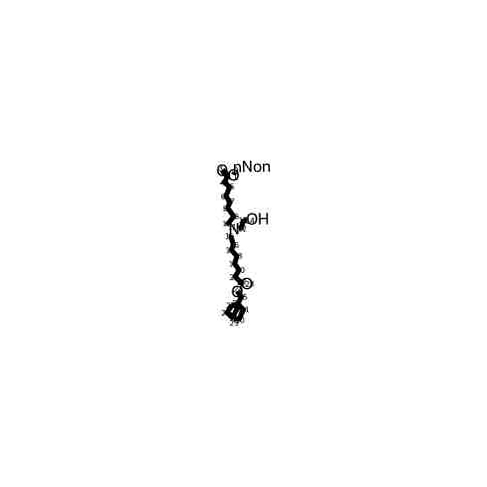 CCCCCCCCCOC(=O)CCCCCCCN(CCO)CCCCCCCC(=O)OCC12CCC(CC1)CC2